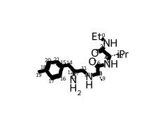 CCNC(=O)[C@@H](NC(=O)[C@H](C)NC[C@@H](N)Cc1ccc(C)cc1)C(C)C